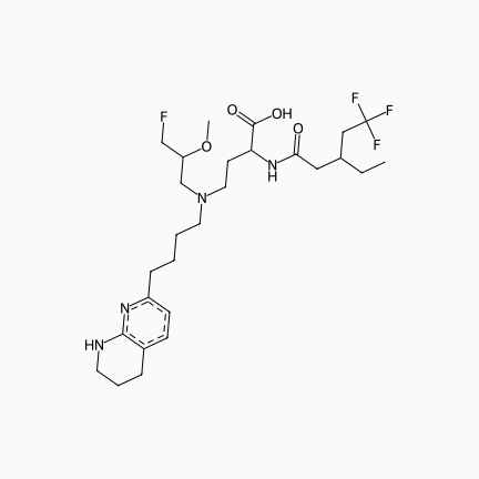 CCC(CC(=O)NC(CCN(CCCCc1ccc2c(n1)NCCC2)CC(CF)OC)C(=O)O)CC(F)(F)F